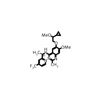 COc1cc2nc(C)nc(N[C@H](C)c3cc(C(F)(F)F)ccn3)c2cc1OCC(OC)C1CC1